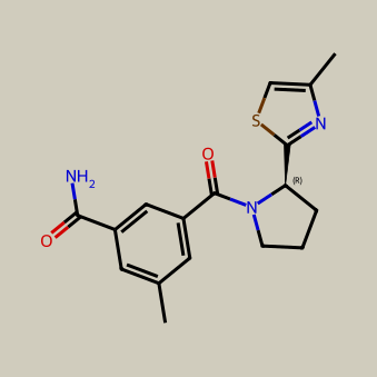 Cc1cc(C(N)=O)cc(C(=O)N2CCC[C@@H]2c2nc(C)cs2)c1